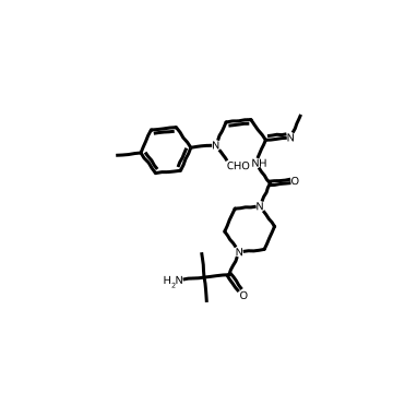 C/N=C(\C=C/N(C=O)c1ccc(C)cc1)NC(=O)N1CCN(C(=O)C(C)(C)N)CC1